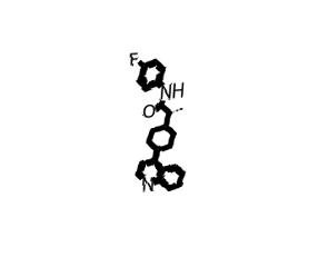 C[C@@H](C(=O)Nc1ccc(F)cc1)C1CCC(c2ccnc3ccccc23)CC1